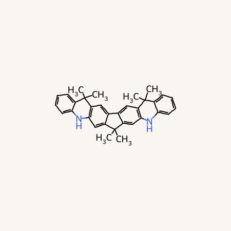 CC1(C)c2ccccc2Nc2cc3c(cc21)-c1cc2c(cc1C3(C)C)Nc1ccccc1C2(C)C